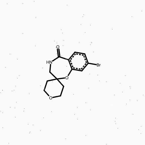 O=C1NCC2(CCOCC2)Oc2cc(Br)ccc21